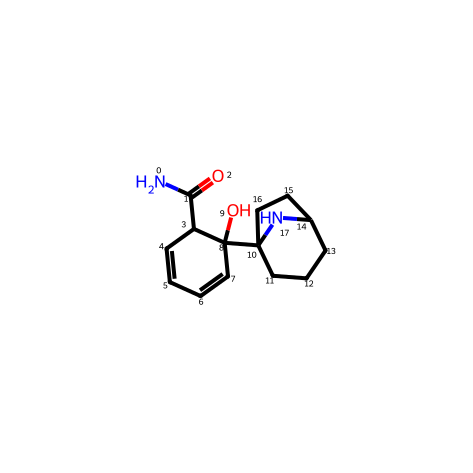 NC(=O)C1C=CC=CC1(O)C12CCCC(CC1)N2